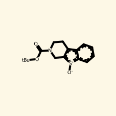 CC(C)(C)OC(=O)N1CCc2c([s+]([O-])c3ccccc23)C1